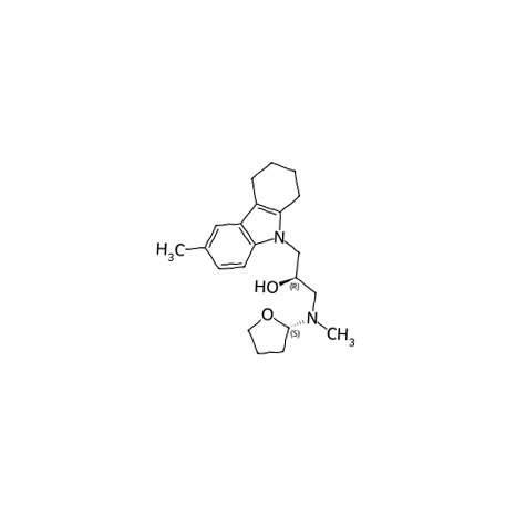 Cc1ccc2c(c1)c1c(n2C[C@H](O)CN(C)[C@@H]2CCCO2)CCCC1